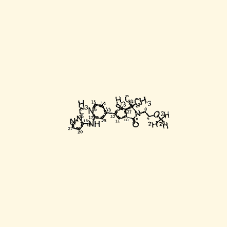 [2H]C([2H])([2H])OCCN1C(=O)c2cc(-c3ccnc(Nc4ccnn4C)c3)sc2C1(C)C